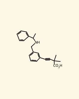 CC(NCc1cccc(C#CC(C)(C)C(=O)O)c1)c1ccccc1